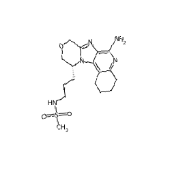 CS(=O)(=O)NCCC[C@@H]1COCc2nc3c(N)nc4c(c3n21)CCCC4